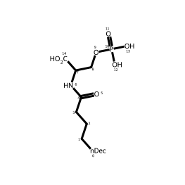 CCCCCCCCCCCCCC(=O)NC(COP(=O)(O)O)C(=O)O